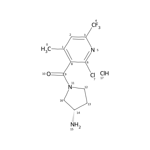 Cc1cc(C(F)(F)F)nc(Cl)c1C(=O)N1CC[C@H](N)C1.Cl